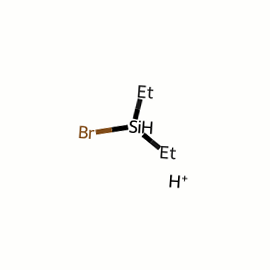 CC[SiH](Br)CC.[H+]